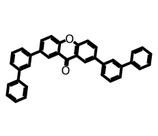 O=c1c2cc(-c3cccc(-c4ccccc4)c3)ccc2oc2ccc(-c3cccc(-c4ccccc4)c3)cc12